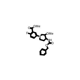 COC(=O)c1cc(N2CCC(NC(=O)OCc3ccccc3)C(OC)C2)ccc1F